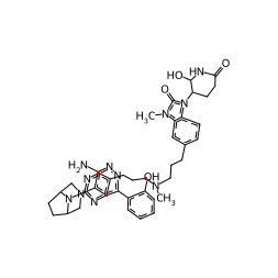 CN(CCCc1cnc(N2C3CCC2CN(c2cc(-c4ccccc4O)nnc2N)C3)nc1)CCCc1ccc2c(c1)n(C)c(=O)n2C1CCC(=O)NC1O